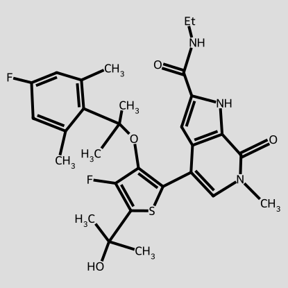 CCNC(=O)c1cc2c(-c3sc(C(C)(C)O)c(F)c3OC(C)(C)c3c(C)cc(F)cc3C)cn(C)c(=O)c2[nH]1